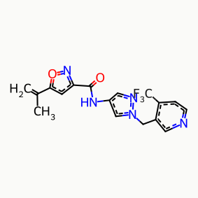 C=C(C)c1cc(C(=O)Nc2cnn(Cc3cnccc3C(F)(F)F)c2)no1